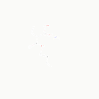 CCCCOC(=O)C(CC)C(=O)O.N